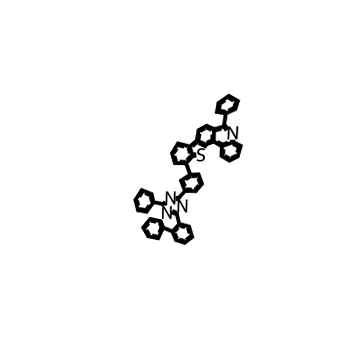 c1ccc(-c2nc(-c3cccc(-c4cccc5c4sc4c5ccc5c(-c6ccccc6)nc6ccccc6c54)c3)nc(-c3ccccc3-c3ccccc3)n2)cc1